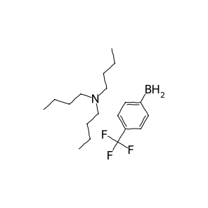 Bc1ccc(C(F)(F)F)cc1.CCCCN(CCCC)CCCC